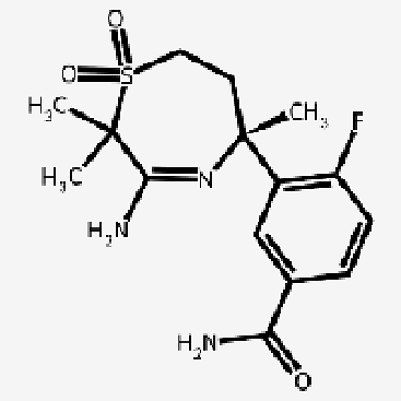 CC1(C)C(N)=N[C@@](C)(c2cc(C(N)=O)ccc2F)CCS1(=O)=O